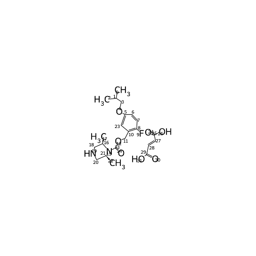 CC(C)COc1ccc(F)c(COC(=O)N2[C@H](C)CNC[C@@H]2C)c1.O=C(O)/C=C/C(=O)O